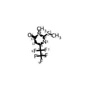 CSc1nc(C(F)(F)C(F)(F)F)cc(=O)n1C